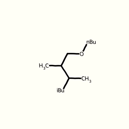 CCCCOCC(C)C(C)C(C)CC